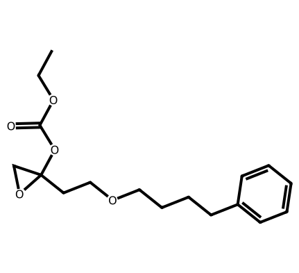 CCOC(=O)OC1(CCOCCCCc2ccccc2)CO1